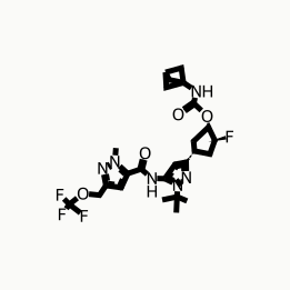 Cn1nc(COC(F)(F)F)cc1C(=O)Nc1cc([C@@H]2C[C@H](OC(=O)NC34CC(C3)C4)[C@@H](F)C2)nn1C(C)(C)C